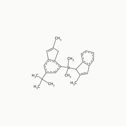 CC1=Cc2cc(C(C)(C)C)cc([Si](C)(C)C3C(C)=Cc4ccccc43)c2C1